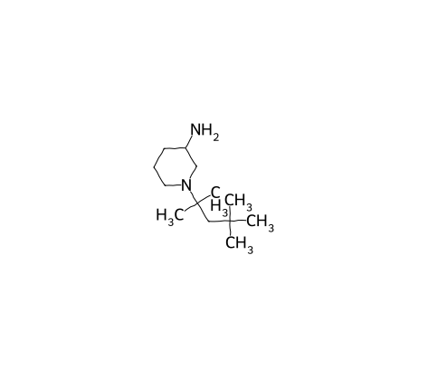 CC(C)(C)CC(C)(C)N1CCCC(N)C1